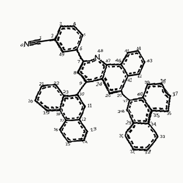 N#Cc1cccc(-c2cc(-c3cc4ccccc4c4ccccc34)c3cc(-c4cc5ccccc5c5ccccc45)c4ccccc4c3n2)c1